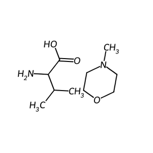 CC(C)C(N)C(=O)O.CN1CCOCC1